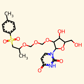 Cc1ccc(S(=O)(=O)CC(C)OCOCOC2C(O)C(CO)OC2n2ccc(=O)[nH]c2=O)cc1